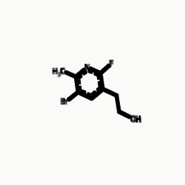 Cc1nc(F)c(CCO)cc1Br